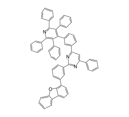 c1ccc(-c2cc(-c3cccc(-c4c(-c5ccccc5)c(-c5ccccc5)nc(-c5ccccc5)c4-c4ccccc4)c3)nc(-c3cccc(-c4cccc5c4oc4ccccc45)c3)n2)cc1